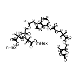 CCCCCCOC(=O)C(C)(C)NP(=O)(CO[C@H](C)Cn1cnc2c(NC(=O)OCC(C)(C)C(=O)OCc3oc(=O)oc3C)ncnc21)NC(C)(C)C(=O)OCCCCCC